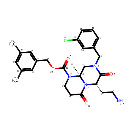 NCC[C@H]1C(=O)N(Cc2cccc(Cl)c2)C[C@@H]2N(C(=O)OCc3cc(C(F)(F)F)cc(C(F)(F)F)c3)CCC(=O)N21